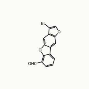 CCc1coc2cc3c(cc12)oc1c(C=O)cccc13